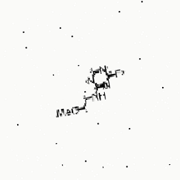 COCCNc1n[c]nc(F)n1